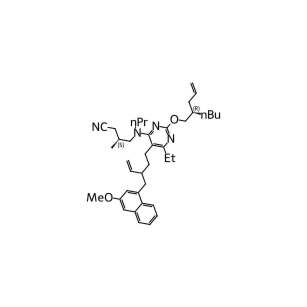 C=CC[C@@H](CCCC)COc1nc(CC)c(CCC(C=C)Cc2cc(OC)cc3ccccc23)c(N(CCC)C[C@@H](C)CC#N)n1